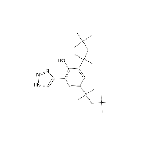 CC(C)(C)CC(C)(C)c1cc(-c2c[nH]nn2)c(O)c(C(C)(C)CC(C)(C)C)c1